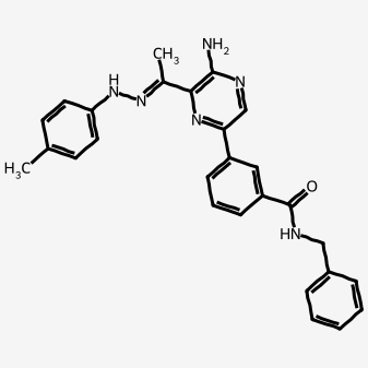 C/C(=N\Nc1ccc(C)cc1)c1nc(-c2cccc(C(=O)NCc3ccccc3)c2)cnc1N